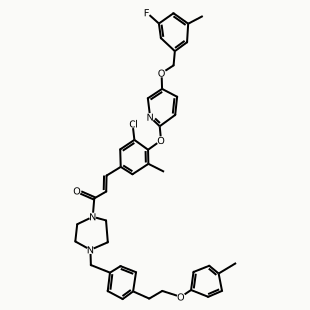 Cc1ccc(OCCc2ccc(CN3CCN(C(=O)C=Cc4cc(C)c(Oc5ccc(OCc6cc(C)cc(F)c6)cn5)c(Cl)c4)CC3)cc2)cc1